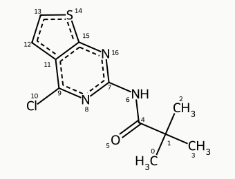 CC(C)(C)C(=O)Nc1nc(Cl)c2ccsc2n1